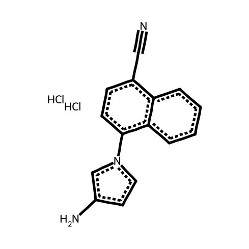 Cl.Cl.N#Cc1ccc(-n2ccc(N)c2)c2ccccc12